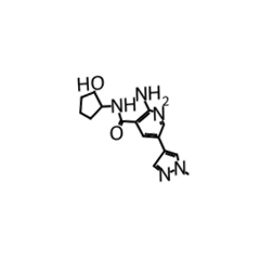 Cn1cc(-c2cnc(N)c(C(=O)NC3CCCC3O)c2)cn1